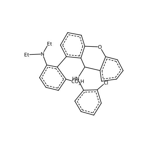 CCN(CC)c1cccc(C(=O)O)c1-c1cccc2c1C(Nc1ccccc1Cl)c1ccccc1O2